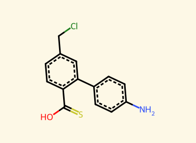 Nc1ccc(-c2cc(CCl)ccc2C(O)=S)cc1